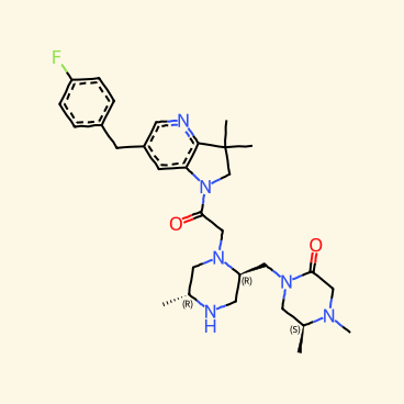 C[C@@H]1CN(CC(=O)N2CC(C)(C)c3ncc(Cc4ccc(F)cc4)cc32)[C@@H](CN2C[C@H](C)N(C)CC2=O)CN1